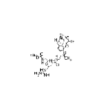 CCC(=O)C1Oc2c(ON(C)CCNC(=O)[C@H](CCCNC(=N)N)NC(=O)CNC(=O)OC(C)(C)C)ccc3c2[C@]12C[C@@H](C3)N(C)C2